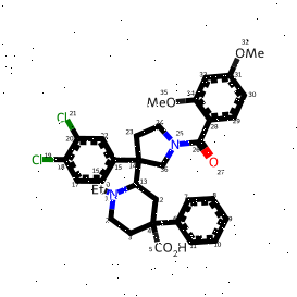 CCN1CCC(C(=O)O)(c2ccccc2)CC1C1(c2ccc(Cl)c(Cl)c2)CCN(C(=O)c2ccc(OC)cc2OC)C1